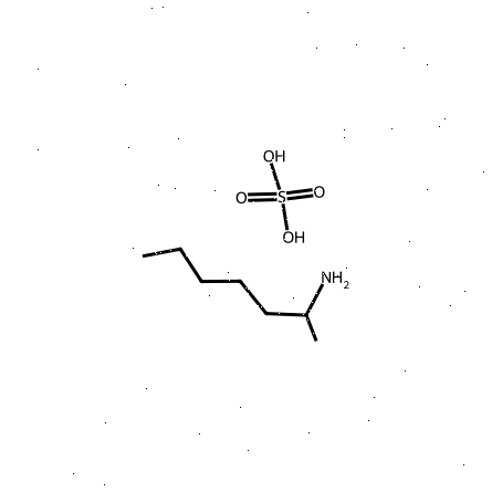 CCCCCC(C)N.O=S(=O)(O)O